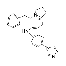 c1ccc(CCN2CCC[C@@H]2Cc2c[nH]c3ccc(-n4cnnc4)cc23)cc1